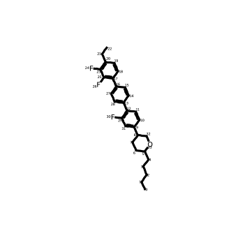 CCCCCC1CCC(c2ccc(-c3ccc(-c4ccc(CC)c(F)c4F)cc3)c(F)c2)CO1